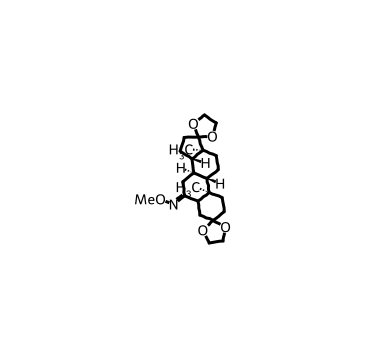 CO/N=C1\C[C@@H]2[C@H](CC[C@@]3(C)[C@H]2CCC32OCCO2)[C@@]2(C)CCC3(CC12)OCCO3